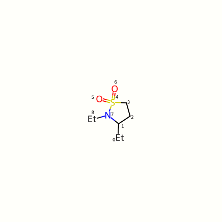 CCC1CCS(=O)(=O)N1CC